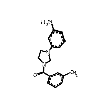 Cc1cccc(C(=O)N2CCN(c3cccc(N)c3)C2)c1